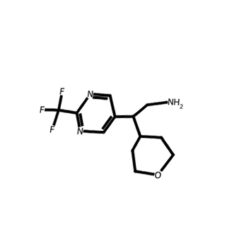 NCC(c1cnc(C(F)(F)F)nc1)C1CCOCC1